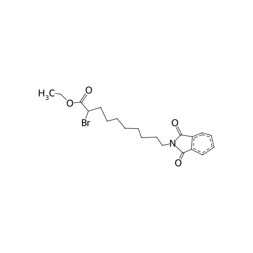 CCOC(=O)C(Br)CCCCCCCCN1C(=O)c2ccccc2C1=O